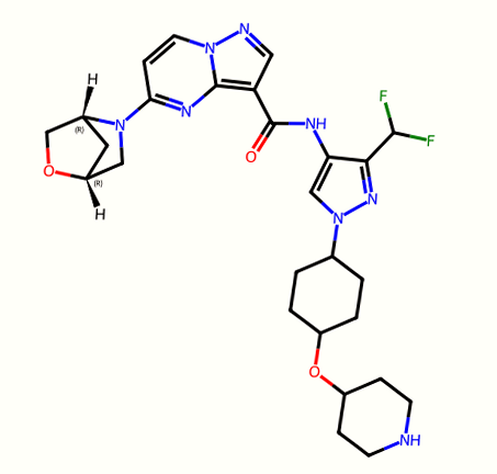 O=C(Nc1cn(C2CCC(OC3CCNCC3)CC2)nc1C(F)F)c1cnn2ccc(N3C[C@H]4C[C@@H]3CO4)nc12